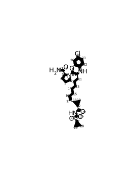 NC(=O)[C@@H]1CCCN1C(=O)[C@H](CCCCC/C=C\[C@@H]1C[C@@H]1C(=O)NS(=O)(=O)C1CC1)Nc1ccc(Cl)cc1